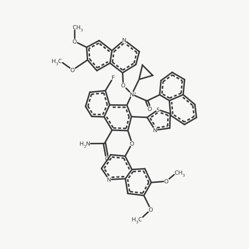 COc1cc2nccc(Oc3c(-c4nccs4)c([N+](Oc4ccnc5cc(OC)c(OC)cc45)(C(=O)c4cccc5ccccc45)C4CC4)c4c(F)cccc4c3C(N)=O)c2cc1OC